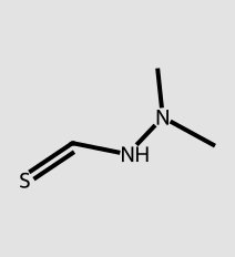 CN(C)NC=S